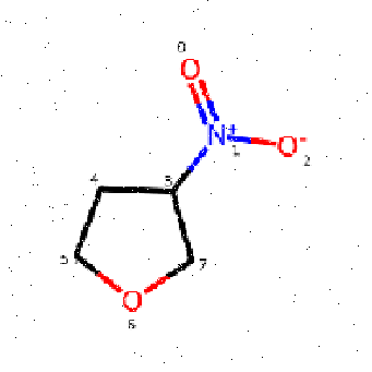 O=[N+]([O-])C1C[CH]OC1